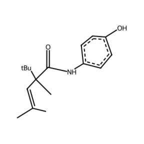 CC(C)=CC(C)(C(=O)Nc1ccc(O)cc1)C(C)(C)C